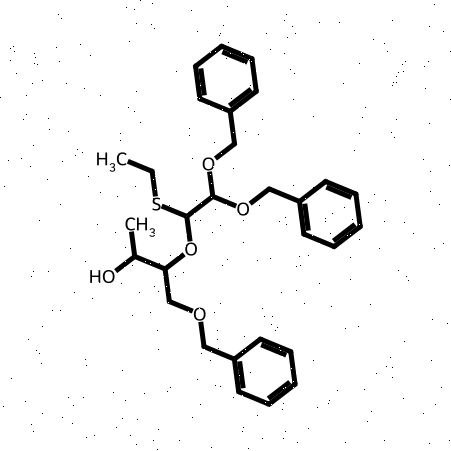 CCSC(OC(COCc1ccccc1)C(C)O)C(OCc1ccccc1)OCc1ccccc1